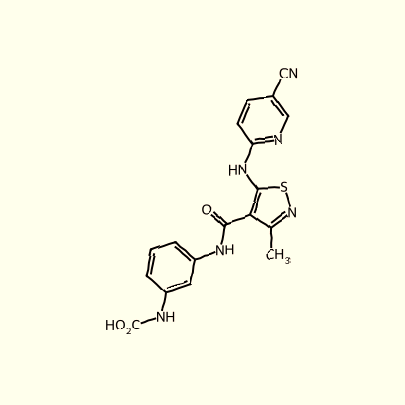 Cc1nsc(Nc2ccc(C#N)cn2)c1C(=O)Nc1cccc(NC(=O)O)c1